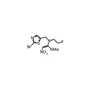 CNC(=C[N+](=O)[O-])N(CCF)Cc1cnc(Br)s1